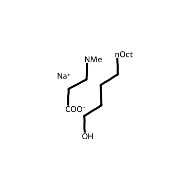 CCCCCCCCCCCCO.CNCCC(=O)[O-].[Na+]